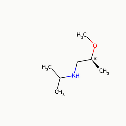 CO[C@@H](C)CNC(C)C